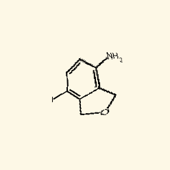 Nc1ccc(I)c2c1COC2